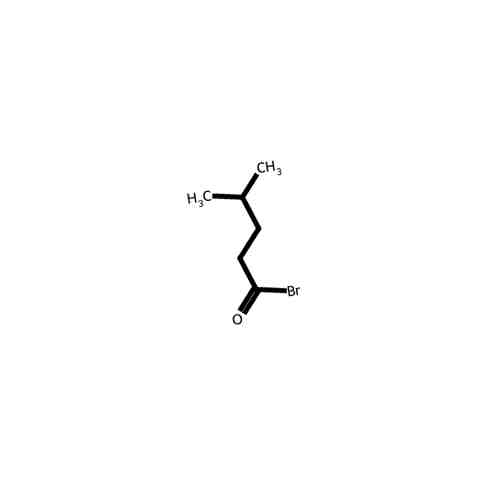 CC(C)CCC(=O)Br